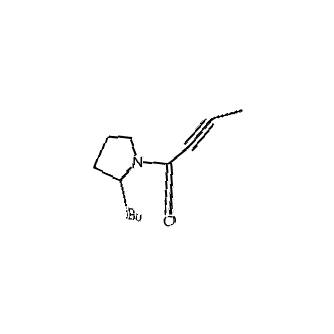 CC#CC(=O)N1CCCC1C(C)CC